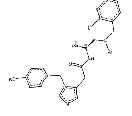 CC[C@H](C)[C@@H](CN(Cc1ccccc1Cl)C(C)=O)NC(=O)Cc1cncn1Cc1ccc(C#N)cc1